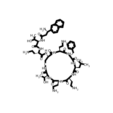 CC(C)C[C@@H]1NC(=O)[C@@H](Cc2ccccc2)NC(=O)[C@H](CCN)NC(=O)[C@@H](NC(=O)[C@H](CCN)NC(=O)[C@@H](NC(=O)C[C@H](N)c2ccc3ccccc3c2)C(C)O)CCNC(=O)[C@H](C(C)O)NC(=O)[C@H](CCN)NC(=O)[C@H](CCN)NC1=O